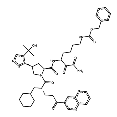 CC(C)(O)c1cnnn1[C@H]1C[C@@H](C(=O)NC(CCCCNC(=O)OCc2ccccc2)C(=O)C(N)=O)N(C(=O)[C@H](CCC(=O)c2cnc3cccnc3c2)CC2CCCCC2)C1